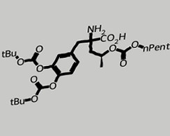 CCCCCOC(=O)O[C@@H](C)CC(N)(Cc1ccc(OC(=O)OC(C)(C)C)c(OC(=O)OC(C)(C)C)c1)C(=O)O